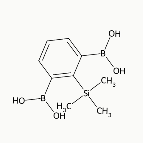 C[Si](C)(C)c1c(B(O)O)cccc1B(O)O